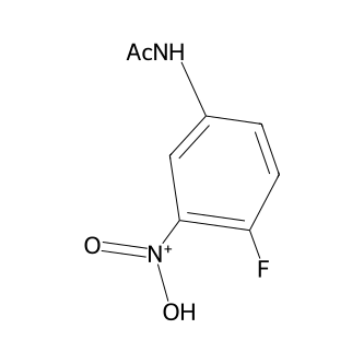 CC(=O)Nc1ccc(F)c([N+](=O)O)c1